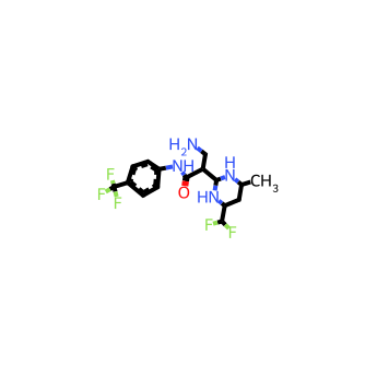 CC1CC(C(F)F)NC(C(CN)C(=O)Nc2ccc(C(F)(F)F)cc2)N1